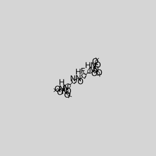 CC(C)(C)OC(=O)/N=C(/NC(=O)OC(C)(C)C)N1CC=C(c2ccc(NC(=O)c3ccc(C4=CCN(/C(=N\C(=O)OC(C)(C)C)NC(=O)OC(C)(C)C)CC4)c(F)c3)nc2)CC1